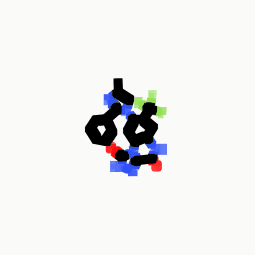 Cc1cn(-c2cc3c(cc2C(F)(F)F)[nH]c(=O)c2n[nH]c(=O)n23)c(-c2ccccc2)n1